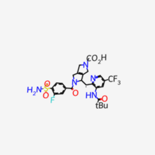 CC(C)(C)C(=O)Nc1cc(C(F)(F)F)cnc1[CH]C1C2=C(CN(C(=O)O)C2)CN1C(=O)c1ccc(S(N)(=O)=O)c(F)c1